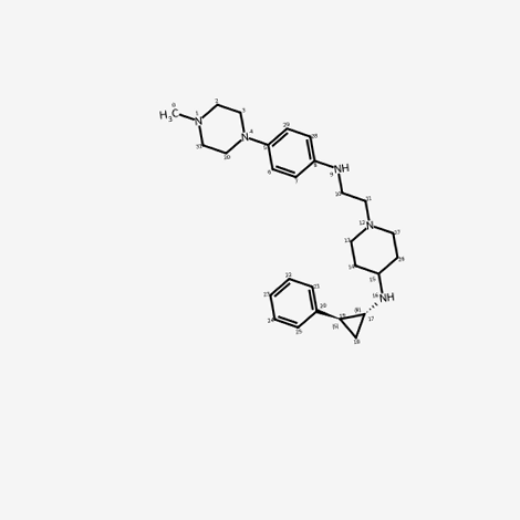 CN1CCN(c2ccc(NCCN3CCC(N[C@@H]4C[C@H]4c4ccccc4)CC3)cc2)CC1